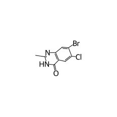 Cc1nc2cc(Br)c(Cl)cc2c(=O)[nH]1